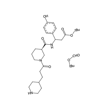 CC(C)(C)OC(=O)CC(NC(=O)[C@@H]1CCCN(C(=O)CCC2CCNCC2)C1)c1ccc(O)cc1.CC(C)(C)OC=O